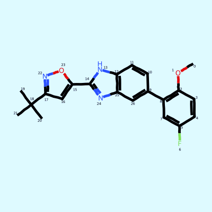 COc1ccc(F)cc1-c1ccc2[nH]c(-c3cc(C(C)(C)C)no3)nc2c1